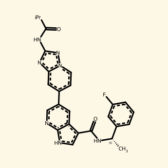 CC(C)C(=O)Nc1nc2cc(-c3cnc4[nH]cc(C(=O)N[C@@H](C)c5cccc(F)c5)c4c3)ccn2n1